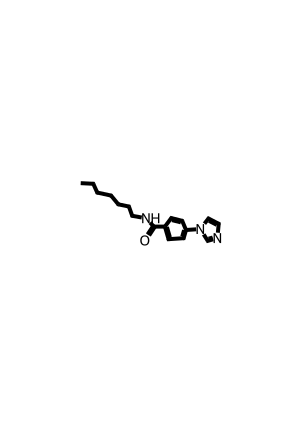 CCCCCCCNC(=O)c1ccc(-n2ccnc2)cc1